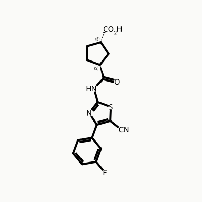 N#Cc1sc(NC(=O)[C@H]2CC[C@H](C(=O)O)C2)nc1-c1cccc(F)c1